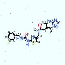 Cc1nc2ncnn2c(C)c1CC(=O)N(C)Cc1csc(NC(=O)NCc2cccc(F)c2)n1